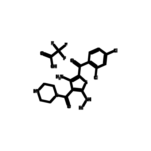 CCNc1sc(C(=O)c2ccc(Cl)cc2Cl)c(N)c1C(=O)N1CCNCC1.O=C(O)C(F)(F)F